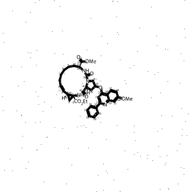 CCOC(=O)[C@@]12C[C@H]1/C=C\CCCCC[C@@H](C(=O)OC)NC(=O)N1CC(Oc3cc(-c4ccccc4)nc4cc(OC)ccc34)C[C@H]1C(=O)N2